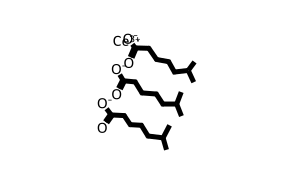 CC(C)CCCCC(=O)[O-].CC(C)CCCCC(=O)[O-].CC(C)CCCCC(=O)[O-].[Ce+3]